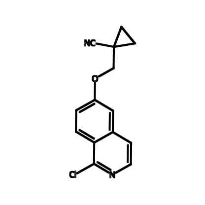 N#CC1(COc2ccc3c(Cl)nccc3c2)CC1